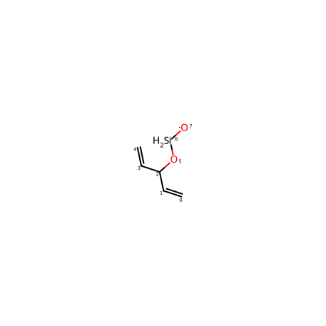 C=CC(C=C)O[SiH2][O]